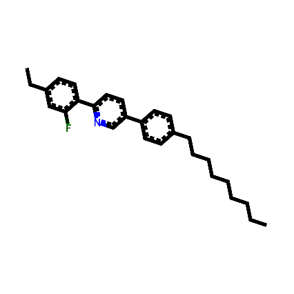 CCCCCCCCCc1ccc(-c2ccc(-c3ccc(CC)cc3F)nc2)cc1